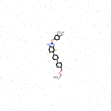 Cc1ccc(Oc2nc3c(F)c(-c4ccc(-c5ccc(COCC(=O)O)cc5)cc4)c(F)cc3[nH]2)cc1C(=O)O